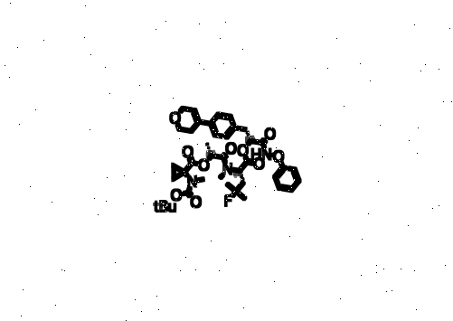 C[C@@H](OC(=O)C1(N(C)C(=O)OC(C)(C)C)CC1)C(=O)N(C)[C@@H](CC(C)(C)F)C(=O)O[C@H](Cc1ccc(C2=CCOCC2)cc1)C(=O)NOc1ccccc1